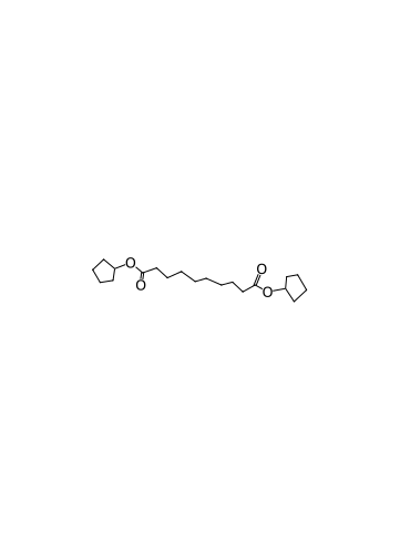 O=C(CCCCCCCCC(=O)OC1CCCC1)OC1CCCC1